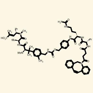 CN[C@@H](C(=O)N[C@H](C(=O)N(C)[C@H](/C=C(\C)C(=O)O)C(C)C)C(C)(C)C)C(C)(C)c1ccc(CNC(=O)OCc2ccc(NC(=O)[C@H](CCCNC(N)=O)NC(=O)[C@@H](NC(=O)CCC(=O)N3Cc4ccccc4C#Cc4ccccc43)C(C)C)cc2)c(C)c1